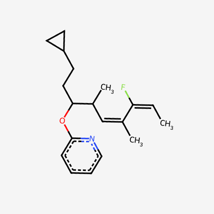 C/C=C(F)\C(C)=C/C(C)C(CCC1CC1)Oc1ccccn1